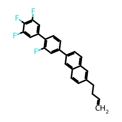 C=CCCc1ccc2cc(-c3ccc(-c4cc(F)c(F)c(F)c4)c(F)c3)ccc2c1